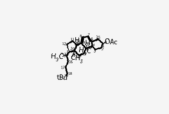 CC(=O)O[C@H]1CC[C@@]2(C)C(=CC=C3[C@@H]4CC[C@H]([C@H](C)CCCC(C)(C)C)[C@@]4(C)CC[C@@H]32)C1